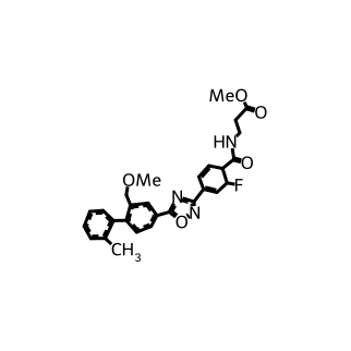 COCc1cc(-c2nc(C3=CC(F)C(C(=O)NCCC(=O)OC)C=C3)no2)ccc1-c1ccccc1C